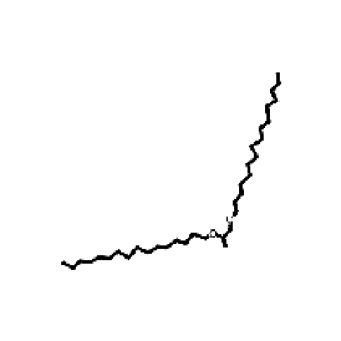 CCCCCCCCCCCCCCCCOC[C](C)OCCCCCCCCCCCCCCCC